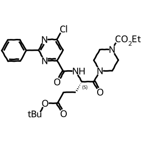 CCOC(=O)N1CCN(C(=O)[C@H](CCC(=O)OC(C)(C)C)NC(=O)c2cc(Cl)nc(-c3ccccc3)n2)CC1